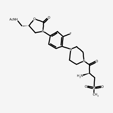 CC(=O)NC[C@H]1CN(c2ccc(N3CCN(C(=O)[C@H](N)CS(C)(=O)=O)CC3)c(F)c2)C(=O)O1